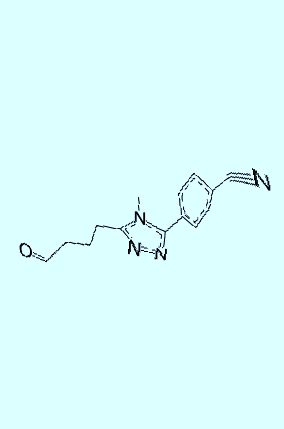 Cn1c(CCCC=O)nnc1-c1ccc(C#N)cc1